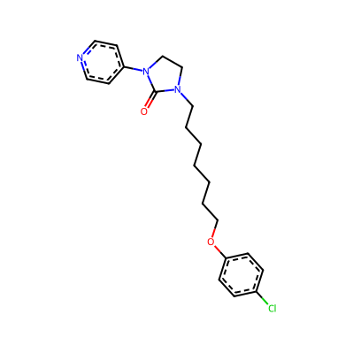 O=C1N(CCCCCCCOc2ccc(Cl)cc2)CCN1c1ccncc1